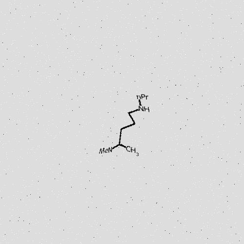 CCCNCCCC(C)NC